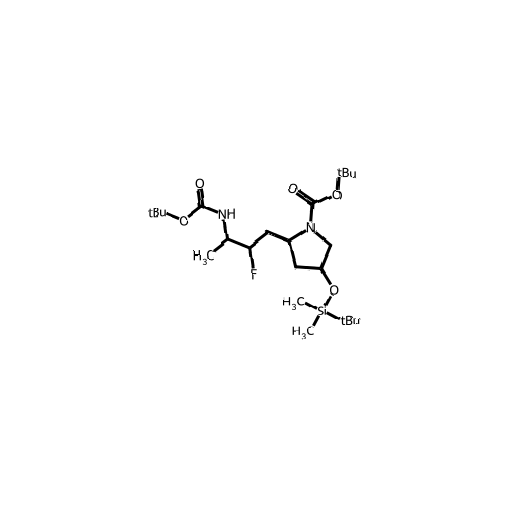 CC(NC(=O)OC(C)(C)C)C(F)CC1CC(O[Si](C)(C)C(C)(C)C)CN1C(=O)OC(C)(C)C